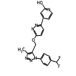 Cc1nnn(-c2ccc(C(F)F)cc2)c1COc1ccc(-c2ccnc(O)c2)nn1